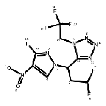 O=[N+]([O-])c1cn(C(CC(F)F)c2nnnn2CC(F)(F)F)nc1F